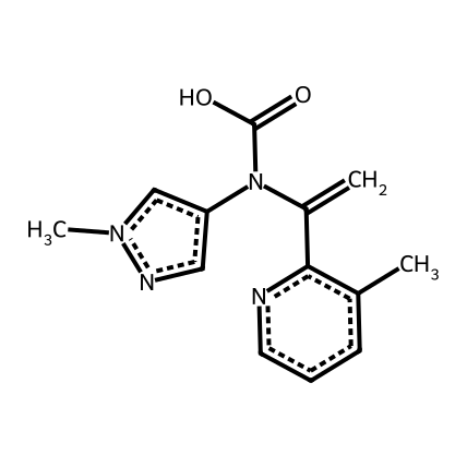 C=C(c1ncccc1C)N(C(=O)O)c1cnn(C)c1